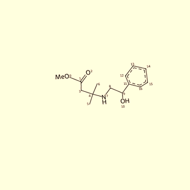 COC(=O)CC(C)(C)NCC(O)c1ccccc1